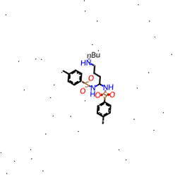 CCCCNCCCC(NS(=O)(=O)c1ccc(C)cc1)NS(=O)(=O)c1ccc(C)cc1